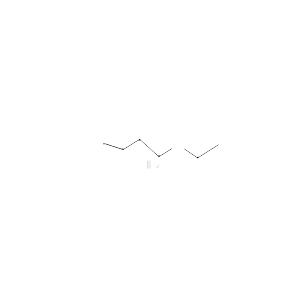 Br.CCOCC[CH2][Hg]